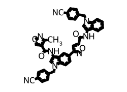 Cc1nocc1C(=O)Nc1cn(Cc2ccc(C#N)cc2)c2ccc(-c3cc(C(=O)Nc4cn(Cc5ccc(C#N)cc5)c5ccccc45)on3)cc12